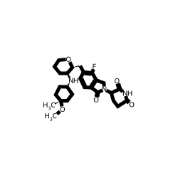 CO[C@]1(C)CC[C@@H](N[C@H]2CCCO[C@@H]2Cc2ccc3c(c2F)CN(C2CCC(=O)NC2=O)C3=O)CC1